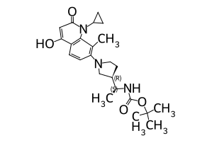 Cc1c(N2CC[C@@H]([C@H](C)NC(=O)OC(C)(C)C)C2)ccc2c(O)cc(=O)n(C3CC3)c12